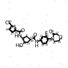 O=C(N[C@H]1C[C@@H](C(=O)Nc2ccc(N3CCOCC3=O)c(F)c2)C[C@@H]1O)c1ccc(Cl)s1